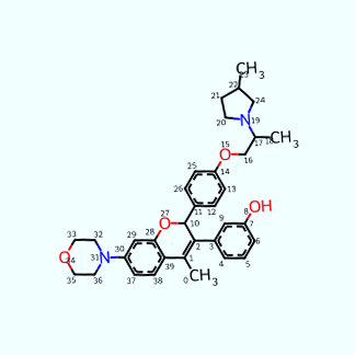 CC1=C(c2cccc(O)c2)C(c2ccc(OCC(C)N3CCC(C)C3)cc2)Oc2cc(N3CCOCC3)ccc21